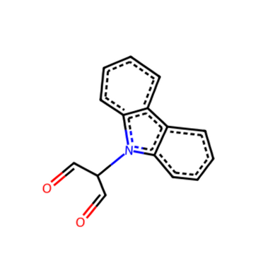 O=CC(C=O)n1c2ccccc2c2ccccc21